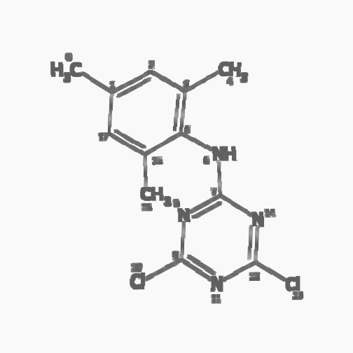 Cc1cc(C)c(Nc2nc(Cl)nc(Cl)n2)c(C)c1